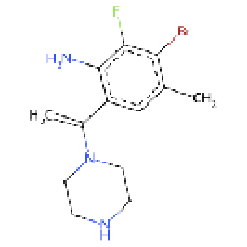 C=C(c1cc(C)c(Br)c(F)c1N)N1CCNCC1